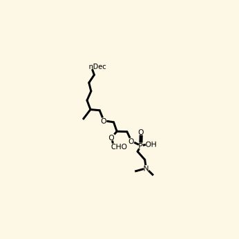 CCCCCCCCCCCCCCC(C)COCC(COP(=O)(O)CCN(C)C)OC=O